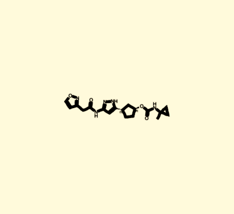 CC1(NC(=O)O[C@@H]2CC[C@H](c3cc(NC(=O)Cc4ccon4)n[nH]3)C2)CC1